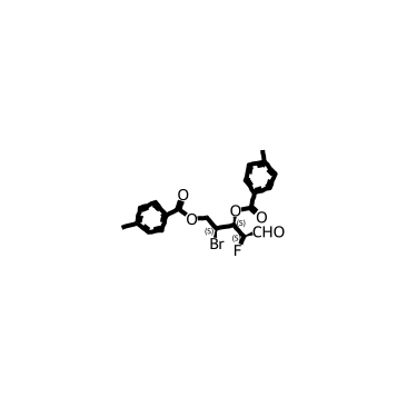 Cc1ccc(C(=O)OC[C@H](Br)[C@@H](OC(=O)c2ccc(C)cc2)[C@H](F)C=O)cc1